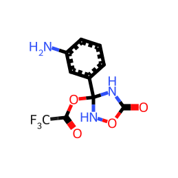 Nc1cccc(C2(OC(=O)C(F)(F)F)NOC(=O)N2)c1